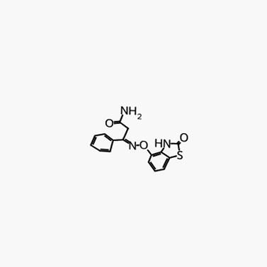 NC(=O)C/C(=N\Oc1cccc2sc(=O)[nH]c12)c1ccccc1